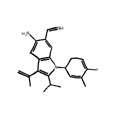 C=C(C)c1c(C(C)C)n(C2C=C(C)C(F)=CC2)c2cc(C=N)c(N)cc12